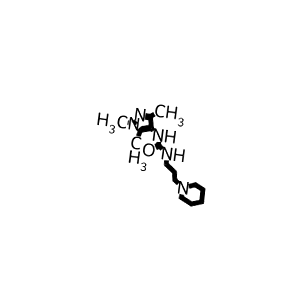 Cc1nn(C)c(C)c1NC(=O)NCCCN1CCCCC1